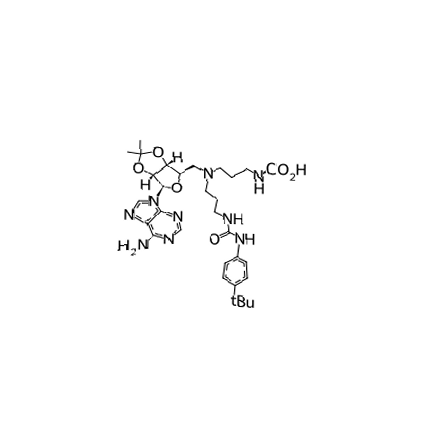 CC1(C)O[C@@H]2[C@H](O1)[C@@H](CN(CCCNC(=O)O)CCCNC(=O)Nc1ccc(C(C)(C)C)cc1)O[C@H]2n1cnc2c(N)ncnc21